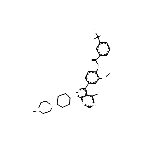 COc1cc(-c2nn([C@H]3CC[C@@H](N4CCN(C)CC4)CC3)c3ncnc(N)c23)ccc1NC(=O)c1cccc(C(F)(F)F)c1